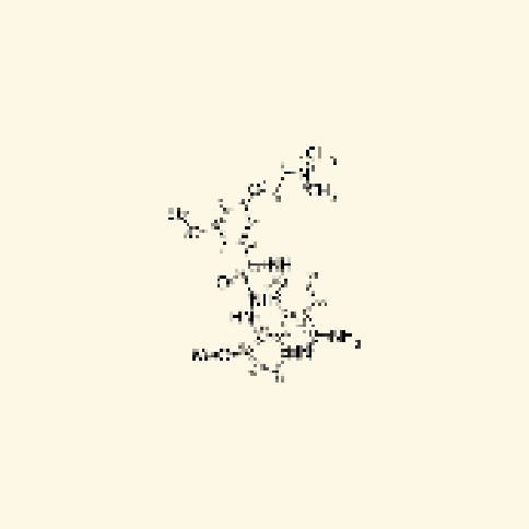 CCOc1cc(OCCN(C)C)cc(C(Nc2ccc(C(=N)N)cc2)C(=O)NNc2ccccc2OC)c1